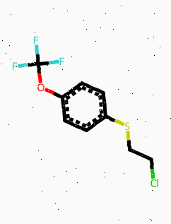 FC(F)(F)Oc1ccc(SCCCl)cc1